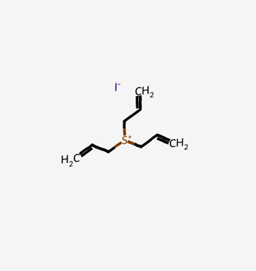 C=CC[S+](CC=C)CC=C.[I-]